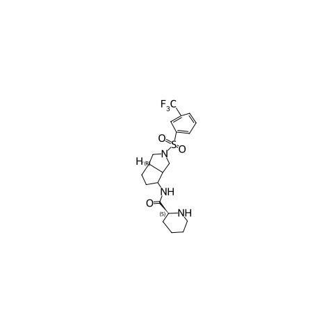 O=C(NC1CC[C@H]2CN(S(=O)(=O)c3cccc(C(F)(F)F)c3)CC12)[C@@H]1CCCCN1